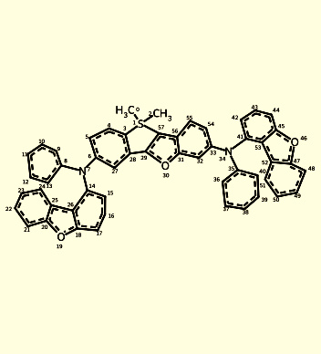 CS1(C)c2ccc(N(c3ccccc3)c3cccc4oc5ccccc5c34)cc2-c2oc3cc(N(c4ccccc4)c4cccc5oc6ccccc6c45)ccc3c21